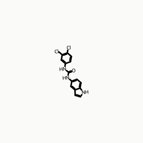 O=C(Nc1ccc(Cl)c(Cl)c1)Nc1ccc2[nH]ccc2c1